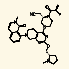 C=C(F)C(=O)N1CCN(c2nc(OC[C@@H]3CCCN3C)nc3c2CCN(c2cccc4ccn(C)c(=O)c24)C3)C[C@@H]1CC#N